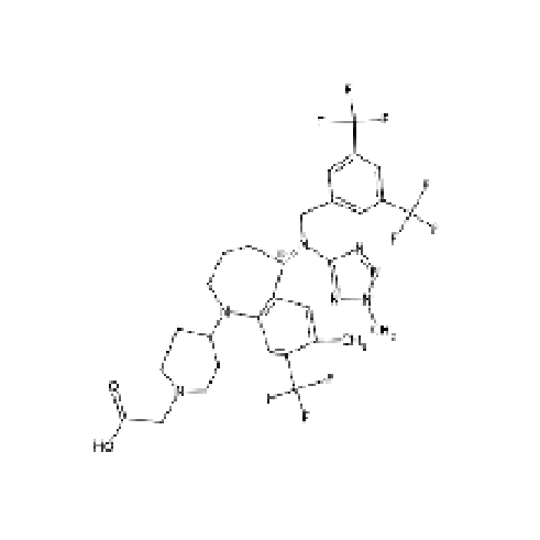 Cc1cc2c(cc1C(F)(F)F)N(C1CCN(CC(=O)O)CC1)CCC[C@@H]2N(Cc1cc(C(F)(F)F)cc(C(F)(F)F)c1)c1nnn(C)n1